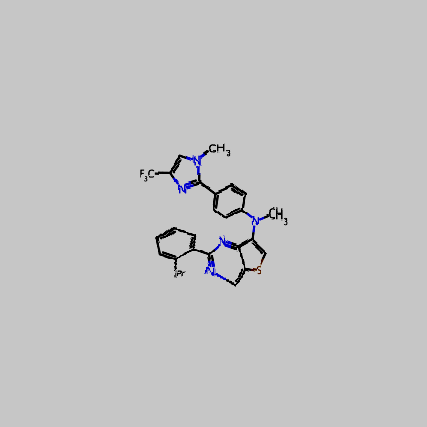 CC(C)c1ccccc1-c1ncc2scc(N(C)c3ccc(-c4nc(C(F)(F)F)cn4C)cc3)c2n1